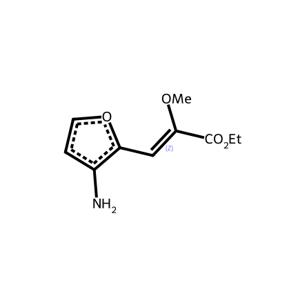 CCOC(=O)/C(=C/c1occc1N)OC